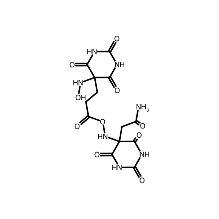 NC(=O)CC1(NOC(=O)CCC2(NO)C(=O)NC(=O)NC2=O)C(=O)NC(=O)NC1=O